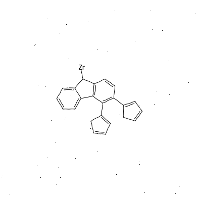 [Zr][CH]1c2ccccc2-c2c1ccc(C1=CC=CC1)c2C1=CC=CC1